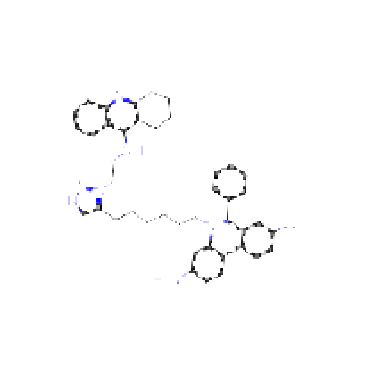 Nc1ccc2c(c1)c(-c1ccccc1)[n+](CCCCCCc1cnnn1CCNc1c3c(nc4ccccc14)CCCC3)c1cc(N)ccc21